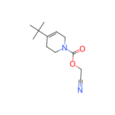 CC(C)(C)C1=CCN(C(=O)OCC#N)CC1